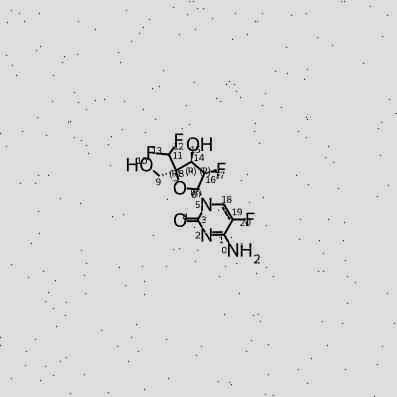 Nc1nc(=O)n([C@@H]2O[C@@](CO)(C(F)F)[C@@H](O)[C@H]2F)cc1F